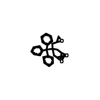 c1ccc(C(c2ccccc2)(c2ccccc2)C(CC2CO2)(CC2CO2)CC2CO2)cc1